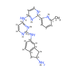 Cc1cccc(-c2nccc(Nc3ccnc(Nc4ccc5c(c4)CC(N)C5)n3)n2)n1